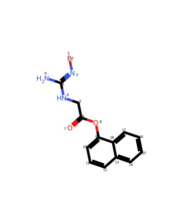 NC(=NBr)NCC(=O)Oc1cccc2ccccc12